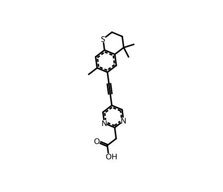 Cc1cc2c(cc1C#Cc1cnc(CC(=O)O)nc1)C(C)(C)CCS2